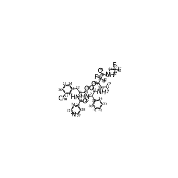 CC(C)[C@H](NC(=O)C(NC(=O)C(Cc1cccc(Cl)c1)NC(=O)c1ccncc1)c1ccccc1)C(=O)C(F)(F)C(=O)NCC(F)(F)F